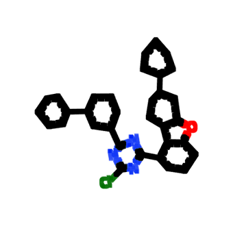 Clc1nc(-c2cccc(-c3ccccc3)c2)nc(-c2cccc3oc4cc(-c5ccccc5)ccc4c23)n1